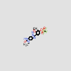 CCn1c(=O)[nH]c2cc3[nH]c(-c4ccc(OS(=O)(=O)C(F)(F)F)cc4OC)nc3cc21